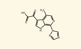 Cc1cnc(-n2cncn2)c2[nH]cc(C(=O)C(=O)O)c12